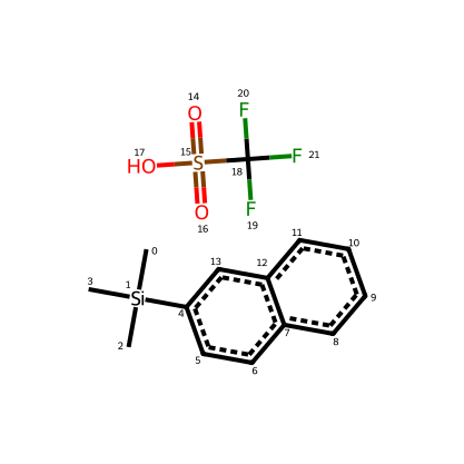 C[Si](C)(C)c1ccc2ccccc2c1.O=S(=O)(O)C(F)(F)F